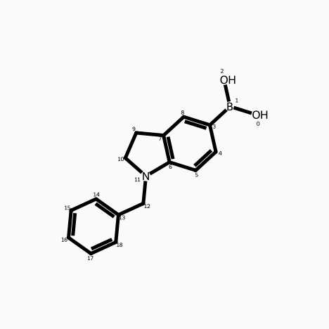 OB(O)c1ccc2c(c1)CCN2Cc1ccccc1